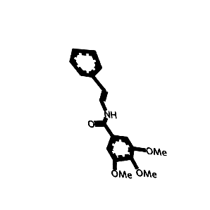 COc1cc(C(=O)N/C=C/c2ccccc2)cc(OC)c1OC